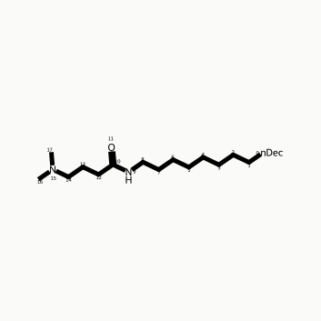 CCCCCCCCCCCCCCCCCCNC(=O)CCCN(C)C